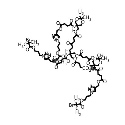 CCOC(=O)CCC(=O)OCC(CCC(=O)CCC(=O)OCC1(NC(=O)CCC(=O)OCc2cn(CCCOC(=O)C(C)(C)Br)nn2)COC(C)(C)OC1)(COC(=O)CCC(=O)OCC1(NC(=O)CCC(=O)OCc2cn(CCCOC(=O)C(C)(C)Br)nn2)COC(C)(C)OC1)NC(=O)CCC(=O)OCc1cn(CCCOC(=O)C(C)(C)Br)nn1